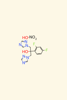 O=[N+]([O-])O.OC(Cn1cncn1)(Cn1cncn1)c1ccc(F)cc1F